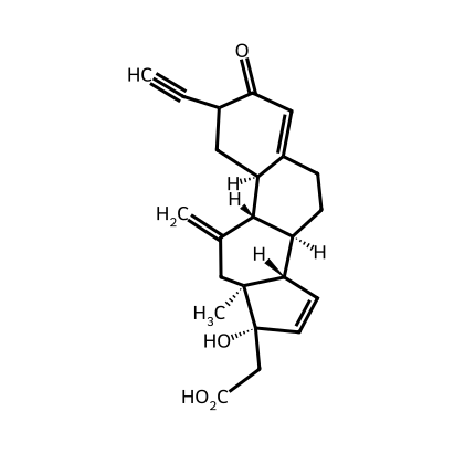 C#CC1C[C@H]2C(=CC1=O)CC[C@@H]1[C@@H]2C(=C)C[C@@]2(C)[C@H]1C=C[C@@]2(O)CC(=O)O